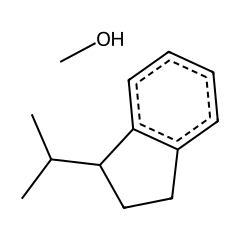 CC(C)C1CCc2ccccc21.CO